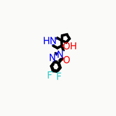 O=c1c2cc(F)c(F)cc2ncn1CC1(O)CCNCC12CCCC2